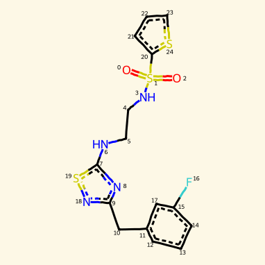 O=S(=O)(NCCNc1nc(Cc2cccc(F)c2)ns1)c1cccs1